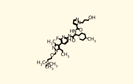 CCc1c(-c2ccc(NC(=O)[C@@H](NC(=O)c3ccnn3CCCO)[C@H]3CC[C@H](C)CC3)nc2F)c(C)nn1COCC[Si](C)(C)C